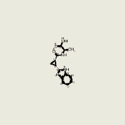 CC(NC(=O)[C@@H]1C[C@H]1c1nc2ccccc2[nH]1)C(=O)O